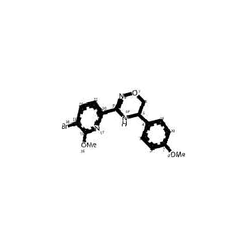 COc1ccc(C2CON=C(c3ccc(Br)c(OC)n3)N2)cc1